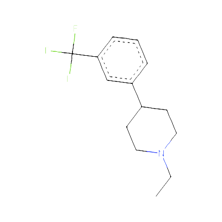 CCN1CCC(c2cc[c]c(C(F)(F)F)c2)CC1